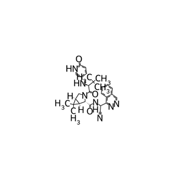 CC(C)(C)[C@H](Nc1ccc(=O)[nH]c1)C(=O)N1C[C@H]2[C@@H]([C@H]1C(=O)NC(C#N)c1nncc3ccccc13)C2(C)C